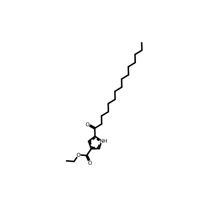 CCCCCCCCCCCCCCC(=O)c1cc(C(=O)OCC)c[nH]1